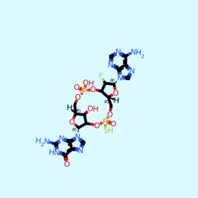 Nc1nc2c(ncn2[C@@H]2O[C@@H]3COP(=O)(O)OC4C(F)[C@H](n5cnc6c(N)ncnc65)O[C@@H]4COP(=O)(S)OC2C3O)c(=O)[nH]1